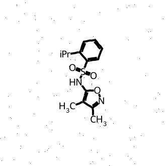 Cc1noc(NS(=O)(=O)c2ccccc2C(C)C)c1C